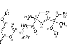 CCC[C@@H](NC(=O)[C@]1(N)CSC(C(C)(OCC)OCC)=N1)c1cc(OCC)cc(=O)o1